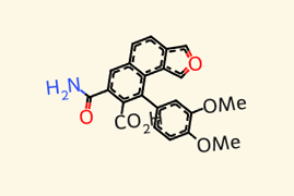 COc1ccc(-c2c(C(=O)O)c(C(N)=O)cc3ccc4cocc4c23)cc1OC